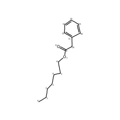 CCCCCCCOC(=O)Cc1ccccc1